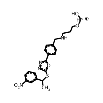 CC(Sc1nnc(-c2ccc(CNCCCO[PH](=O)O)cc2)o1)c1cccc([N+](=O)[O-])c1